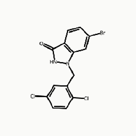 O=c1[nH]n(Cc2cc(Cl)ccc2Cl)c2cc(Br)ccc12